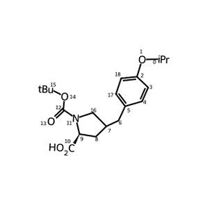 CC(C)Oc1ccc(CC2C[C@@H](C(=O)O)N(C(=O)OC(C)(C)C)C2)cc1